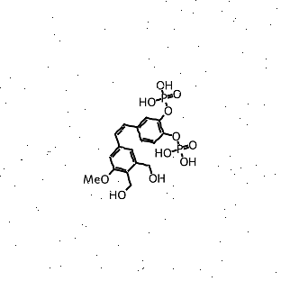 COc1cc(/C=C\c2ccc(OP(=O)(O)O)c(OP(=O)(O)O)c2)cc(CO)c1CO